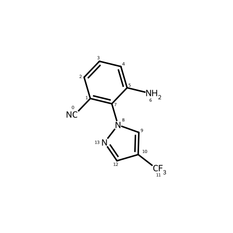 N#Cc1cccc(N)c1-n1cc(C(F)(F)F)cn1